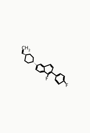 C=C[C@H]1CC[C@H](c2ccc3c(F)c(-c4ccc(F)cc4)ccc3c2)CC1